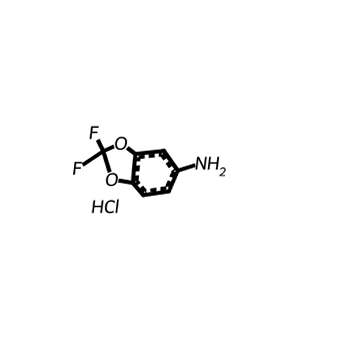 Cl.Nc1ccc2c(c1)OC(F)(F)O2